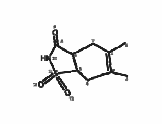 CC1=C(C)CC2C(C1)C(=O)NS2(=O)=O